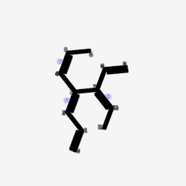 C=C/C=C(/C=C\C)C(\C=C)=C/C